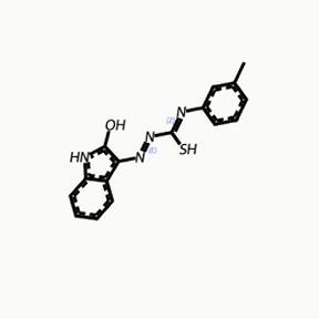 Cc1cccc(/N=C(S)/N=N/c2c(O)[nH]c3ccccc23)c1